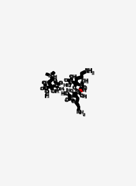 CN(C)CCC(O)(P(=O)(O)O)P(=O)(O)O.NCCCC(OP(=O)(O)C(O)(CCCN)P(=O)(O)O)(P(=O)(O)O)P(=O)(O)O